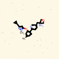 Cn1nc(C2CC2)cc1Oc1cc(C#N)ccc1-c1ccc(CC2(N)COC2)cn1